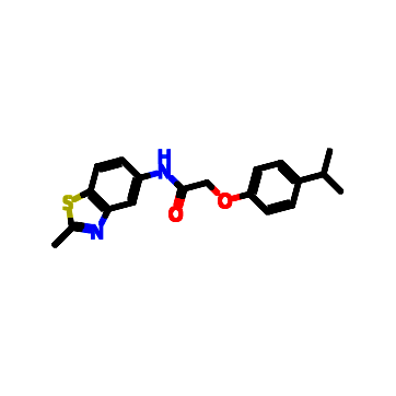 Cc1nc2cc(NC(=O)COc3ccc(C(C)C)cc3)ccc2s1